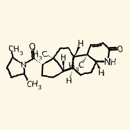 CC1CCC(C)N1C(=O)[C@H]1CC[C@H]2[C@@H]3CC[C@H]4NC(=O)C=C[C@]4(C)[C@H]3CC[C@]12C